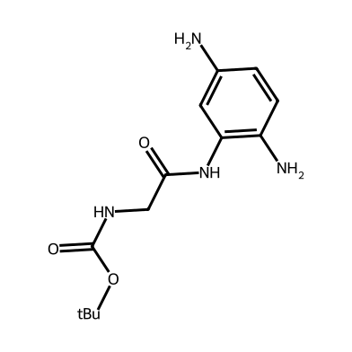 CC(C)(C)OC(=O)NCC(=O)Nc1cc(N)ccc1N